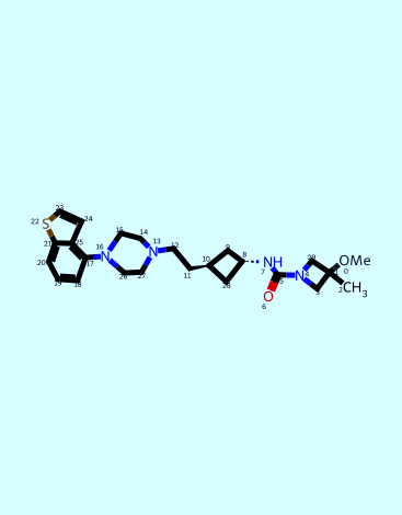 COC1(C)CN(C(=O)N[C@H]2C[C@H](CCN3CCN(c4cccc5sccc45)CC3)C2)C1